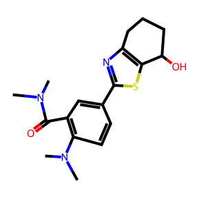 CN(C)C(=O)c1cc(-c2nc3c(s2)C(O)CCC3)ccc1N(C)C